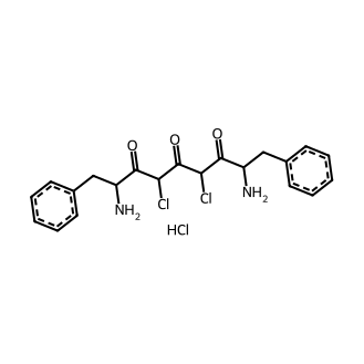 Cl.NC(Cc1ccccc1)C(=O)C(Cl)C(=O)C(Cl)C(=O)C(N)Cc1ccccc1